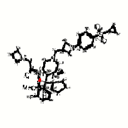 C=N[C@]1([C@](CNC(=O)CN2CCC2)(c2cccc(F)c2)C2CCN(CC3CN(c4ccc(S(=O)(=O)C5CC5)cc4)C3)CC2)CCC[C@@H]1NC(=O)OC